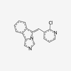 Clc1ncccc1/C=c1/c2ccccc2c2cncn12